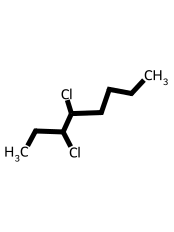 CCCCC(Cl)C(Cl)CC